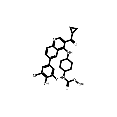 CC(C)(C)OC(=O)NC1CCC(Nc2c(C(=O)C3CC3)cnc3ccc(-c4cc(Cl)c(O)c(Cl)c4)cc23)CC1